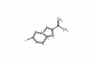 C=C(C)c1cn2cc(I)ccc2n1